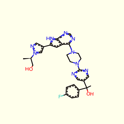 C[C@H](CO)n1cc(-c2cc3c(N4CCN(c5ncc(C(C)(O)c6ccc(F)cc6)cn5)CC4)ncnc3[nH]2)cn1